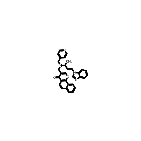 CC(CCn1cnc2ccccc21)N(Cc1ccncc1)Cc1coc2c(ccc3ccccc32)c1=O